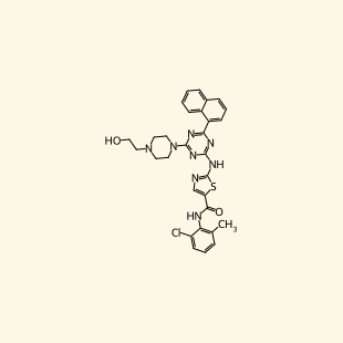 Cc1cccc(Cl)c1NC(=O)c1cnc(Nc2nc(-c3cccc4ccccc34)nc(N3CCN(CCO)CC3)n2)s1